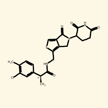 Cc1ccc([C@H](C)C(=O)NCc2scc3c2CN(C2CCC(=O)NC2=O)C3=O)cc1Cl